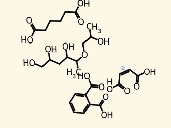 CC(O)COC(C)C(O)CC(O)CO.O=C(O)/C=C\C(=O)O.O=C(O)CCCCC(=O)O.O=C(O)c1ccccc1C(=O)O